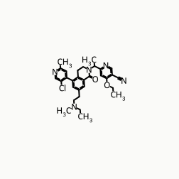 CCOc1cc(C(C)N2CCc3c(cc(CCN(C)CC)cc3-c3cc(C)ncc3Cl)C2=O)ncc1C#N